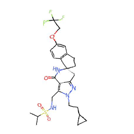 CC(C)S(=O)(=O)NCc1c2c(nn1CCC1CC1)C[C@]1(CCc3cc(OCC(F)(F)F)ccc31)NC2=O